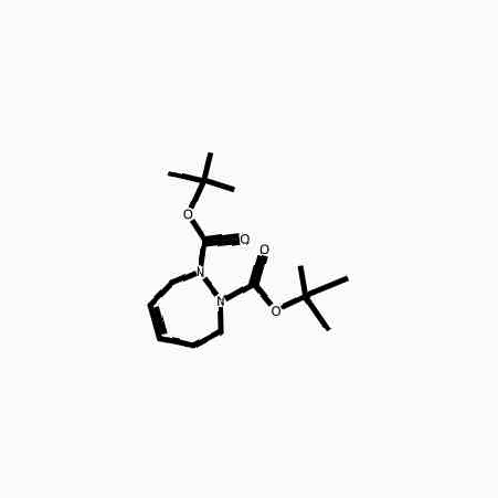 CC(C)(C)OC(=O)N1CC=CCCN1C(=O)OC(C)(C)C